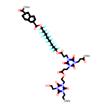 COCCn1c(=O)n(CCO)c(=O)n(CCOC(=O)CCn2c(=O)n(CCC(=O)OC)c(=O)n(CCC(=O)OC(F)(F)C(F)(F)C(F)(F)C(F)(F)C(F)(F)C(F)(F)C(F)(F)C(F)(F)OC(=O)c3ccc4cc(C(=O)OC)ccc4c3)c2=O)c1=O